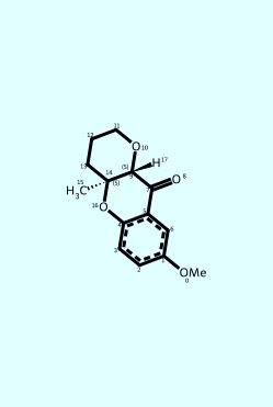 COc1ccc2c(c1)C(=O)[C@H]1OCCC[C@]1(C)O2